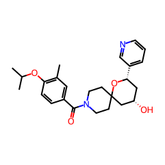 Cc1cc(C(=O)N2CCC3(CC2)C[C@@H](O)C[C@@H](c2cccnc2)O3)ccc1OC(C)C